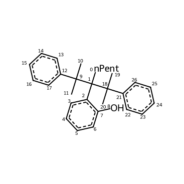 CCCCCC(c1ccccc1O)(C(C)(C)c1ccccc1)C(C)(C)c1ccccc1